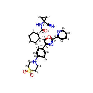 N#CC1(NC(=O)[C@@H]2CCCC[C@H]2c2oc(-c3ccccn3)nc2-c2ccc(N3CCS(=O)(=O)CC3)cc2)CC1